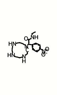 CCNC(=O)C(c1ccc([N+](=O)[O-])cc1)N1CCNCCNCCNCC1